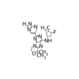 CC1CC(Nc2nc(-c3cnc(N)nc3)nc3c2nc2n3CCOC2(C)C)CC1F